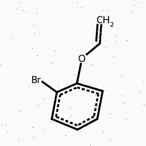 C=COc1ccccc1Br